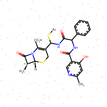 CC(=O)SC(NC(=O)C(NC(=O)c1cnc(C)cc1O)c1ccccc1)C1=C(C(=O)O)N2C(=O)[C@H](C)[C@H]2SC1